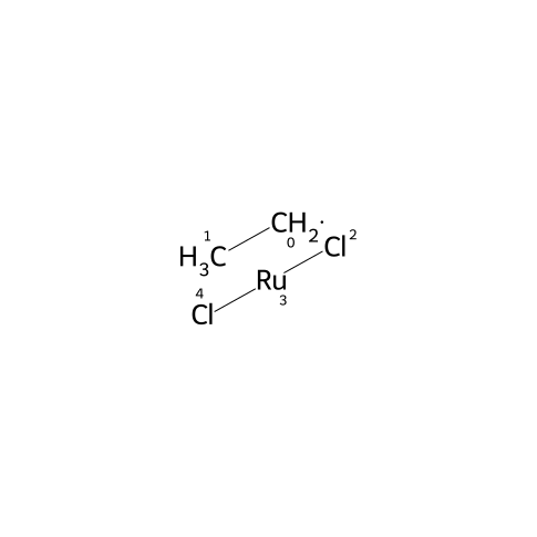 [CH2]C.[Cl][Ru][Cl]